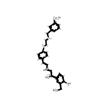 CC(=O)OCc1cc([C@@H](O)CNCCc2ccc(OCCOCc3cccc(C(=O)O)c3)cc2)ccc1O